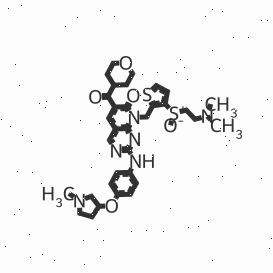 CN(C)CC[S+]([O-])c1ccsc1Cn1c(=O)c(C(=O)C2CCOCC2)cc2cnc(Nc3ccc(OC4CCN(C)C4)cc3)nc21